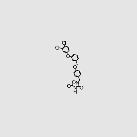 O=c1[nH]c(=O)n(Cc2ccc(OCc3cccc(Oc4ccc(Cl)c(Cl)c4)c3)cc2)o1